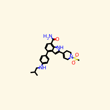 CC(C)CNc1ccc(-c2ccc(C(N)=O)c3[nH]c(C4=CCN(S(C)(=O)=O)CC4)cc23)cc1